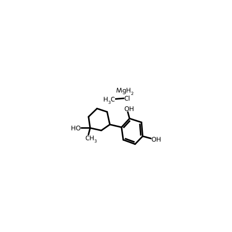 CC1(O)CCCC(c2ccc(O)cc2O)C1.CCl.[MgH2]